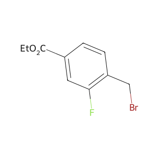 CCOC(=O)c1ccc(CBr)c(F)c1